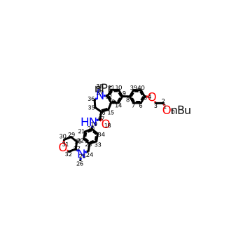 CCCCOCCOc1ccc(-c2ccc3c(c2)C=C(C(=O)Nc2ccc(CN(C)C4CCCOC4)cc2)CCN3CCC)cc1